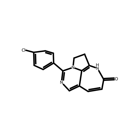 O=C1C=CC2=CN=C(c3ccc(Cl)cc3)N3CCC(=C23)N1